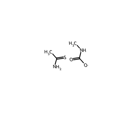 CC(N)=S.CNC([O])=O